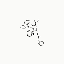 COC(=O)c1cc(C(c2ccccc2)(c2ccccc2)c2ccccc2)c2ccc(OCc3ccccc3)cc2c1